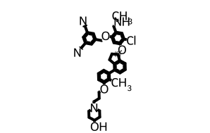 CNCc1cc(Cl)c(O[C@H]2CCc3c(-c4cccc(OCCCN5CCC(O)CC5)c4C)cccc32)cc1OCc1cc(C#N)cc(C#N)c1